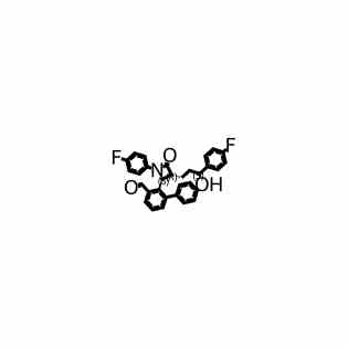 O=Cc1cccc(-c2ccccc2)c1[C@@H]1[C@@H](CC[C@H](O)c2ccc(F)cc2)C(=O)N1c1ccc(F)cc1